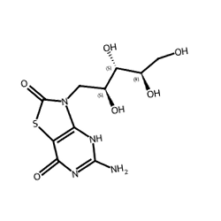 Nc1nc(=O)c2sc(=O)n(C[C@H](O)[C@H](O)[C@H](O)CO)c2[nH]1